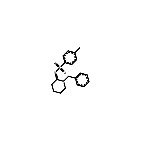 Cc1ccc(S(=O)(=O)N=C2CCCCI2Cc2ccccc2)cc1